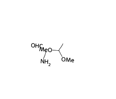 COC(C)OC.NCC=O